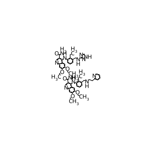 CCOc1cc2ncc(C(N)=O)c(Nc3cccc(CNCCc4ccccn4)c3CC)c2cc1OCC.CCOc1cc2ncc(C(N)=O)c(Nc3cccc(CNc4nc[nH]n4)c3CC)c2cc1OCC